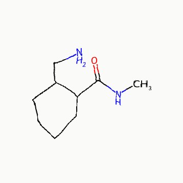 CNC(=O)C1CCCCC1CN